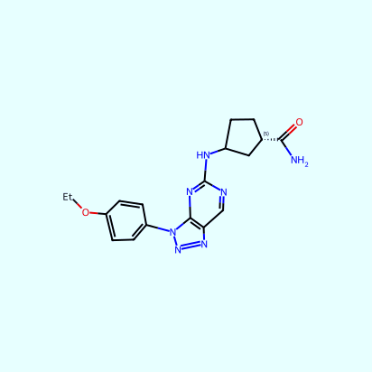 CCOc1ccc(-n2nnc3cnc(NC4CC[C@H](C(N)=O)C4)nc32)cc1